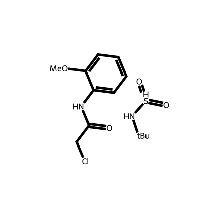 CC(C)(C)N[SH](=O)=O.COc1ccccc1NC(=O)CCl